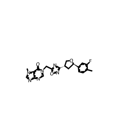 Cc1ccc([C@H]2C[C@H](c3noc(Cn4cnc5ncn(C)c5c4=O)n3)CO2)cc1F